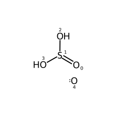 O=S(O)O.[O]